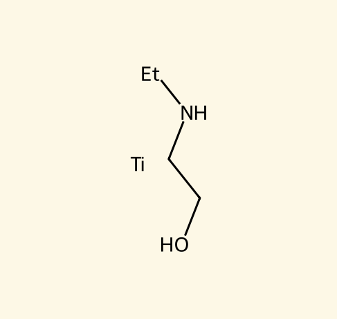 CCNCCO.[Ti]